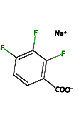 O=C([O-])c1ccc(F)c(F)c1F.[Na+]